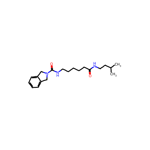 CC(C)CCNC(=O)CCCCCNC(=O)N1Cc2ccccc2C1